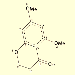 COc1cc(OC)c2c(c1)OCCC2=O